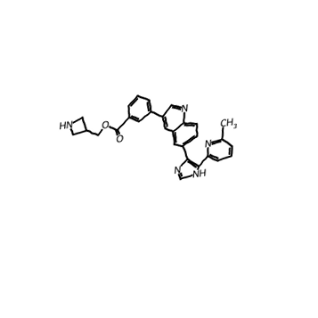 Cc1cccc(-c2[nH]cnc2-c2ccc3ncc(-c4cccc(C(=O)OCC5CNC5)c4)cc3c2)n1